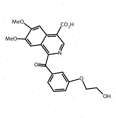 COc1cc2c(C(=O)O)cnc(C(=O)c3cccc(OCCO)c3)c2cc1OC